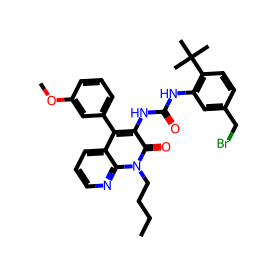 CCCCn1c(=O)c(NC(=O)Nc2cc(CBr)ccc2C(C)(C)C)c(-c2cccc(OC)c2)c2cccnc21